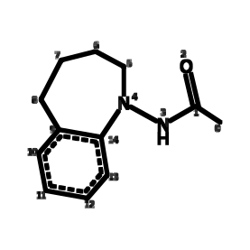 CC(=O)NN1CCCCc2ccccc21